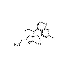 CCN(c1ccnc2cc(F)ccc12)C(CC)(CCCN)C(=O)O